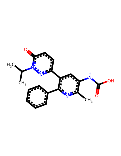 Cc1nc(-c2ccccc2)c(-c2ccc(=O)n(C(C)C)n2)cc1NC(=O)O